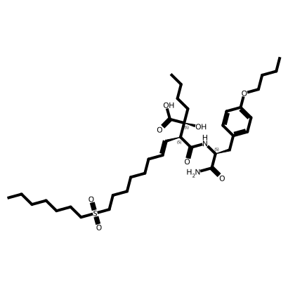 CCCCCCCS(=O)(=O)CCCCCCC=C[C@H](C(=O)N[C@@H](Cc1ccc(OCCCC)cc1)C(N)=O)[C@@](O)(CCCC)C(=O)O